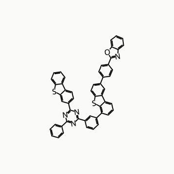 c1ccc(-c2nc(-c3cccc(-c4cccc5c4sc4ccc(-c6ccc(-c7nc8ccccc8o7)cc6)cc45)c3)nc(-c3ccc4c(c3)sc3ccccc34)n2)cc1